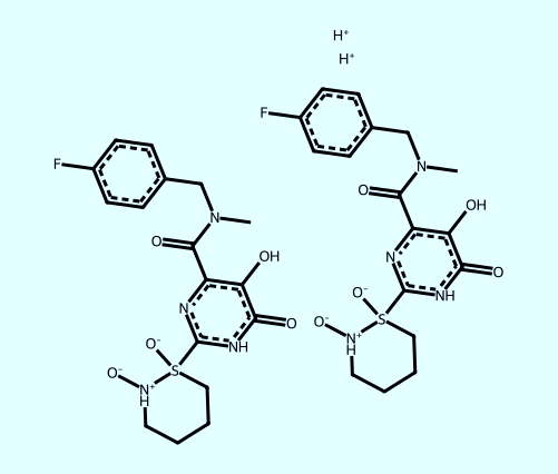 CN(Cc1ccc(F)cc1)C(=O)c1nc(S2([O-])CCCC[NH+]2[O-])[nH]c(=O)c1O.CN(Cc1ccc(F)cc1)C(=O)c1nc(S2([O-])CCCC[NH+]2[O-])[nH]c(=O)c1O.[H+].[H+]